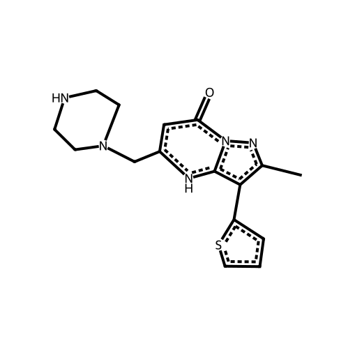 Cc1nn2c(=O)cc(CN3CCNCC3)[nH]c2c1-c1cccs1